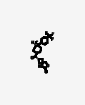 CC1(c2ccc(C(F)(F)F)cc2)CCN(C(=O)[C@H]2C[C@]3(COC(=O)N3)C2)CC1